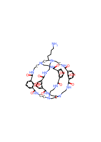 NCCCCC1CN2CCNC(=O)c3cccc(c3O)C(=O)NCCN(CCNC(=O)c3cccc(c3O)C(=O)NCC2)CCN2CCNC(=O)c3cccc(c3O)C(=O)NCCN1CCNC(=O)c1cccc(c1O)C(=O)NCC2